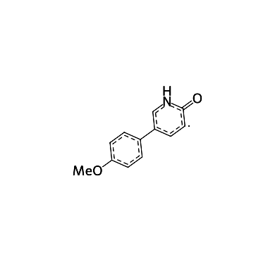 COc1ccc(-c2c[c]c(=O)[nH]c2)cc1